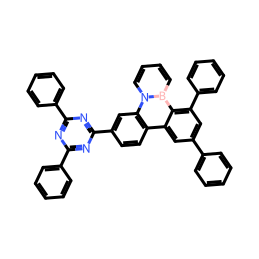 C1=CB2c3c(-c4ccccc4)cc(-c4ccccc4)cc3-c3ccc(-c4nc(-c5ccccc5)nc(-c5ccccc5)n4)cc3N2C=C1